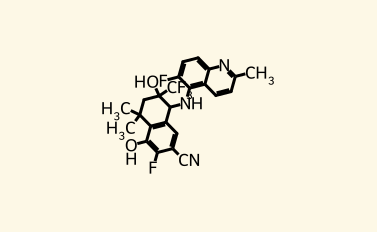 Cc1ccc2c(NC3c4cc(C#N)c(F)c(O)c4C(C)(C)CC3(O)C(F)(F)F)c(F)ccc2n1